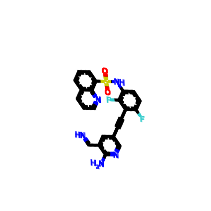 N=Cc1cc(C#Cc2c(F)ccc(NS(=O)(=O)c3cccc4cccnc34)c2F)cnc1N